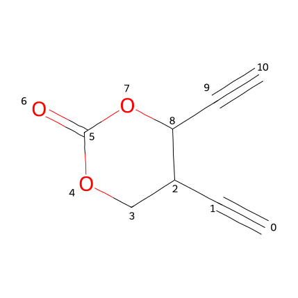 C#CC1COC(=O)OC1C#C